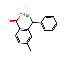 Cc1ccc(C(=O)O)c(C(Br)c2ccccc2)c1